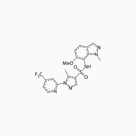 COc1ccc2cnn(C)c2c1NS(=O)(=O)c1cnn(-c2cc(C(F)(F)F)ccn2)c1C